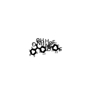 O=C(NO)C(c1ccccc1)c1cccc(NS(=O)(=O)c2ccc(F)cc2F)c1